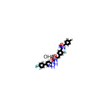 Cc1ccc(-c2nc(-c3ccc(CC(NC(=O)Nc4ccc(-c5ccc(F)cc5)cn4)OC=O)cc3F)no2)cc1